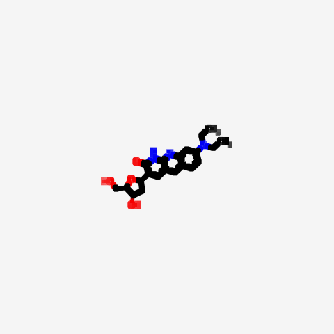 CCN(CC)c1ccc2cc3cc([C@H]4C[C@H](O)[C@@H](CO)O4)c(=O)[nH]c3nc2c1